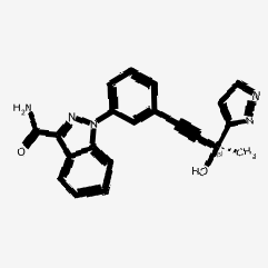 C[C@](O)(C#Cc1cccc(-n2nc(C(N)=O)c3ccccc32)c1)C1=CCN=N1